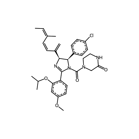 C=C(/C=C\C(C)=C/C)[C@@H]1N=C(c2ccc(OC)cc2OC(C)C)N(C(=O)N2CCNC(=O)C2)[C@@H]1c1ccc(Cl)cc1